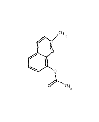 CC(=O)Oc1cccc2ccc(C)nc12